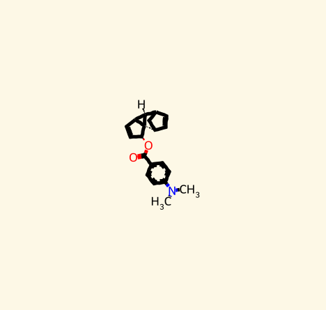 CN(C)c1ccc(C(=O)O[C@@H]2C=CC3[C@H]4C5C=CC(C5)[C@]342)cc1